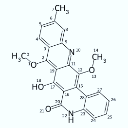 COc1c2ccc(C)cc2nc2c(OC)c3c(c(O)c12)c(=O)[nH]c1ccccc13